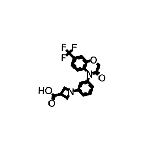 O=C(O)C1CN(c2cccc(N3C(=O)COc4cc(C(F)(F)F)ccc43)c2)C1